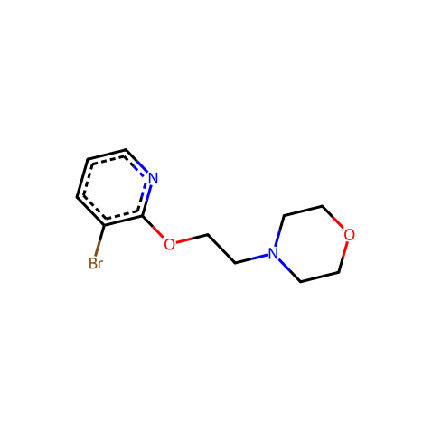 Brc1cccnc1OCCN1CCOCC1